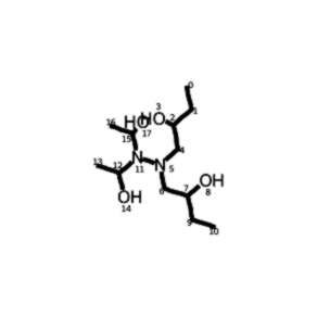 CCC(O)CN(CC(O)CC)N(C(C)O)C(C)O